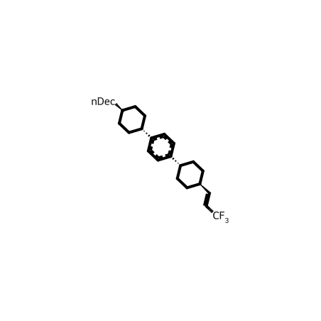 CCCCCCCCCC[C@H]1CC[C@H](c2ccc([C@H]3CC[C@H](C=CC(F)(F)F)CC3)cc2)CC1